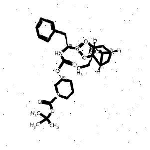 CC[C@@]12OB([C@H](Cc3ccccc3)NC(=O)O[C@@H]3CCCN(C(=O)OC(C)(C)C)C3)O[C@@H]1C[C@@H]1C[C@H]2C1(C)C